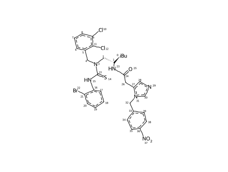 CC[C@H](C)[C@@H](CN(Cc1cccc(Cl)c1Cl)C(=S)Nc1ccccc1Br)NC(=O)Cc1cncn1Cc1ccc([N+](=O)[O-])cc1